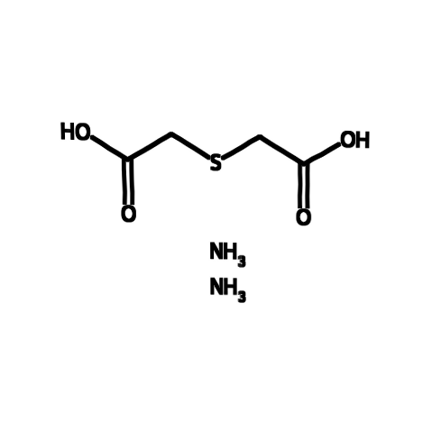 N.N.O=C(O)CSCC(=O)O